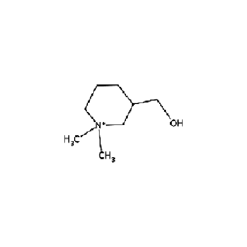 C[N+]1(C)CCCC(CO)C1